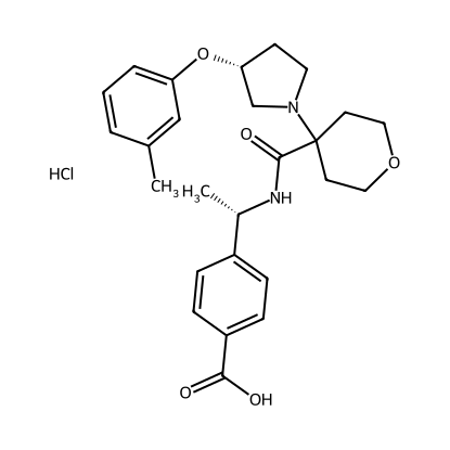 Cc1cccc(O[C@@H]2CCN(C3(C(=O)N[C@@H](C)c4ccc(C(=O)O)cc4)CCOCC3)C2)c1.Cl